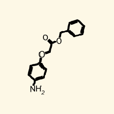 Nc1ccc(OCC(=O)OCc2ccccc2)cc1